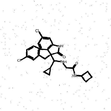 O=C(CNC(C1CC1)C1(Cc2cccc(Cl)c2)C(=O)Nc2cc(Cl)ccc21)NC1CCC1